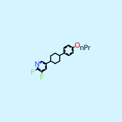 CCCOc1ccc(C2CCC(c3cnc(F)c(F)c3)CC2)cc1